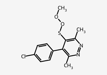 COOSc1c(C)nnc(C)c1-c1ccc(Cl)cc1